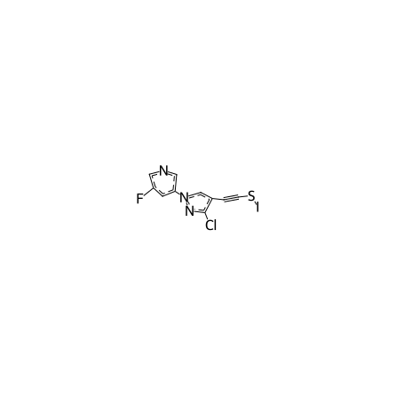 Fc1cncc(-n2cc(C#CSI)c(Cl)n2)c1